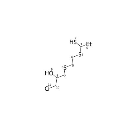 CCC(S)SCCSCC(O)CCl